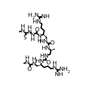 CNC(=O)NC[C@H](CCCNC(=N)N)NC(=O)NC[C@H](C)NC(=O)NC[C@H](CCCNC(=N)N)NC(=O)NNC(=S)NC